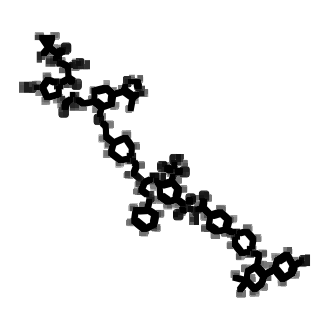 Cc1ncsc1-c1ccc(CNC(=O)[C@@H]2C[C@@H](O)CN2C(=O)[C@@H](NC(=O)C2(F)CC2)C(C)(C)C)c(OCCC2CCN(CC[C@H](CSc3ccccc3)Nc3ccc(S(=O)(=O)NC(=O)c4ccc(N5CCN(CC6=C(c7ccc(Cl)cc7)CCC(C)(C)C6)CC5)cc4)cc3S(=O)(=O)C(F)(F)F)CC2)c1